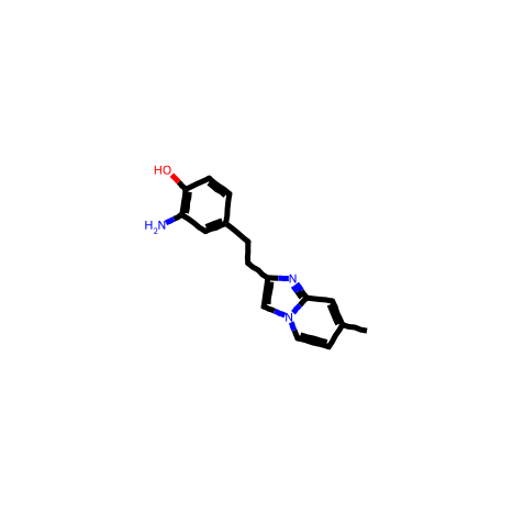 Cc1ccn2cc(CCc3ccc(O)c(N)c3)nc2c1